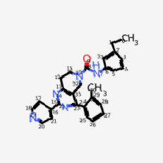 CCc1cccc(NC(=O)N2CCc3nc(-c4ccncc4)nc(-c4ccccc4C)c3C2)c1